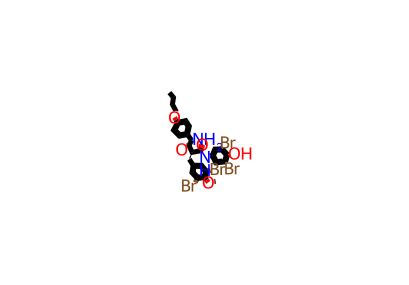 CCCCOc1ccc(C(N)C(=O)[C@@H](Cc2cc(Br)c(OC)c(Br)c2)C(=O)Nc2cc(Br)c(O)c(Br)c2)cc1